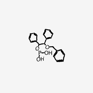 OP(O)OC(c1ccccc1)C(OCc1ccccc1)c1ccccc1